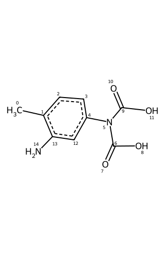 Cc1ccc(N(C(=O)O)C(=O)O)cc1N